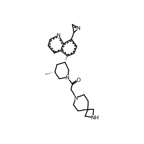 C[C@@H]1C[C@H](c2ccc(C3C=N3)c3ncccc23)CN(C(=O)CN2CCC3(CC2)CNC3)C1